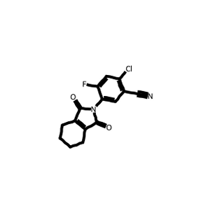 N#Cc1cc(N2C(=O)C3=C(CCCC3)C2=O)c(F)cc1Cl